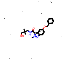 Cn1nc2ccc(OCc3ccccc3)cc2c1C(=O)NCC(C)(C)CO